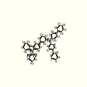 c1ccc(-c2ccc(N(c3ccc(-c4ccccc4)cc3)c3cccc(-c4ccc5c(c4)c4ccccc4n5-c4ncccn4)c3)cc2)cc1